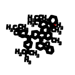 CC1=CC2=C3B(C4=C5C(CC(C(C)(C)C)C4)C4(CCCCC4)C(C)(C)N5C3C1)C1CC=C(N(C3=CCC(C(C)(C)C)CC3)C3CCC(C(C)(C)C)CC3)CC1N2C1CCCC2C3=C(C=CCC3)OC21